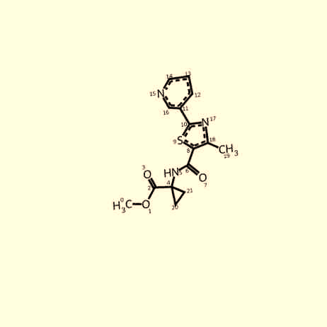 COC(=O)C1(NC(=O)c2sc(-c3cccnc3)nc2C)CC1